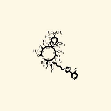 C=C[C@@]1(OC)[C@@H](CC)OC(=O)[C@H](C)C(=O)[C@H](C)[C@@H](OC2O[C@H](C)C[C@H](N(C)C)[C@H]2O)[C@@](C)(OC)C[C@@H](C)C(=O)[C@H](C)[C@H]1N(CO)CCCCn1cnc(-c2cnccc2Cl)c1